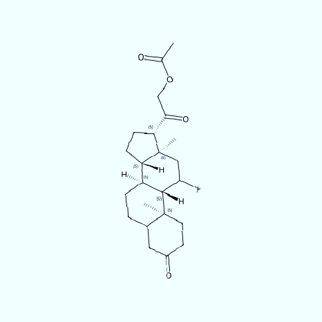 CC(=O)OCC(=O)[C@H]1CC[C@H]2[C@@H]3CCC4CC(=O)CC[C@]4(C)[C@H]3C(F)C[C@]12C